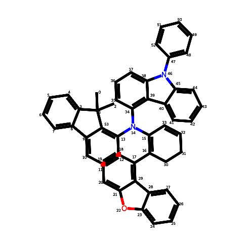 CC1(C)c2ccccc2-c2cccc(N(C3=C(c4cccc5oc6ccccc6c45)CCC=C3)c3cccc4c3c3ccccc3n4-c3ccccc3)c21